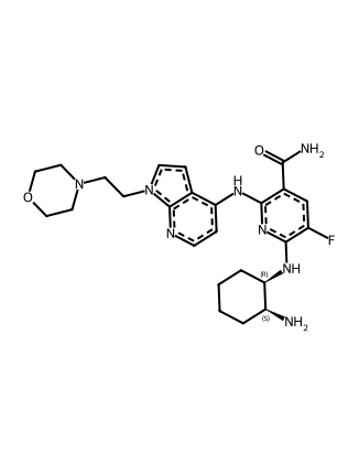 NC(=O)c1cc(F)c(N[C@@H]2CCCC[C@@H]2N)nc1Nc1ccnc2c1ccn2CCN1CCOCC1